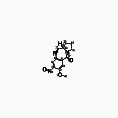 COc1cc2c(cc1N=O)N=C[C@@H]1CCCN1C2=O